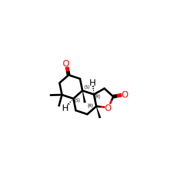 CC1(C)CC(=O)C[C@]2(C)[C@H]3CC(=O)O[C@]3(C)CC[C@@H]12